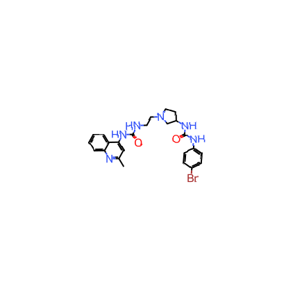 Cc1cc(NC(=O)NCCN2CCC(NC(=O)Nc3ccc(Br)cc3)C2)c2ccccc2n1